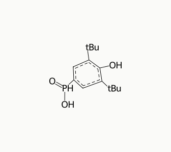 CC(C)(C)c1cc([PH](=O)O)cc(C(C)(C)C)c1O